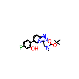 CN(Cc1nnc2ccc(-c3ccc(F)cc3O)cn12)C(=O)OC(C)(C)C